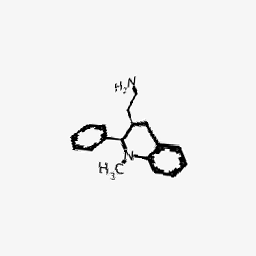 CN1c2ccccc2C[C@H](CCN)[C@@H]1c1ccccc1